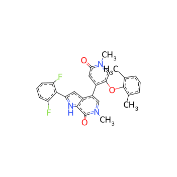 Cc1cccc(C)c1Oc1cn(C)c(=O)cc1-c1cn(C)c(=O)c2[nH]c(-c3c(F)cccc3F)cc12